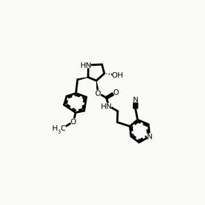 COc1ccc(C[C@H]2NC[C@H](O)[C@H]2OC(=O)NCCc2ccncc2C#N)cc1